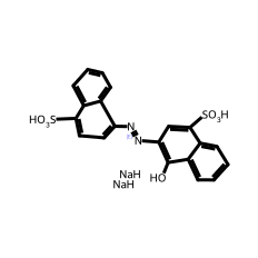 O=S(=O)(O)c1ccc(/N=N/c2cc(S(=O)(=O)O)c3ccccc3c2O)c2ccccc12.[NaH].[NaH]